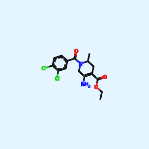 CCOC(=O)C1=C(N)CN(C(=O)c2ccc(Cl)c(Cl)c2)C(C)C1